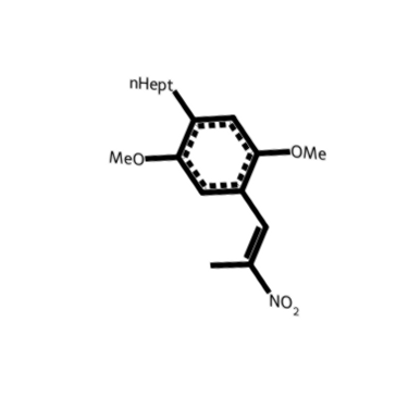 CCCCCCCc1cc(OC)c(C=C(C)[N+](=O)[O-])cc1OC